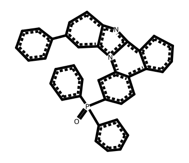 O=P(c1ccccc1)(c1ccccc1)c1ccc2c3ccccc3c3nc4ccc(-c5ccccc5)cc4n3c2c1